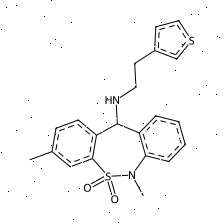 Cc1ccc2c(c1)S(=O)(=O)N(C)c1ccccc1C2NCCc1ccsc1